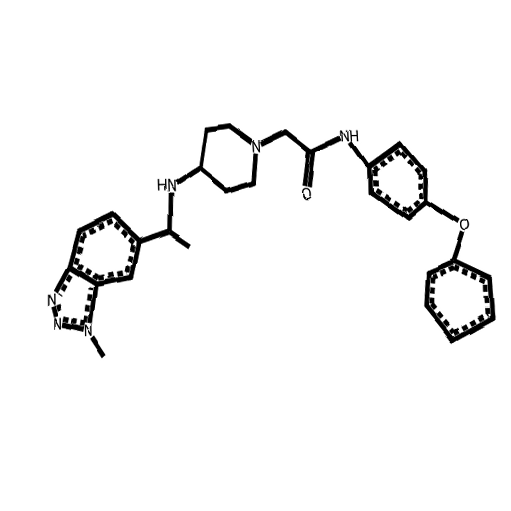 CC(NC1CCN(CC(=O)Nc2ccc(Oc3ccccc3)cc2)CC1)c1ccc2nnn(C)c2c1